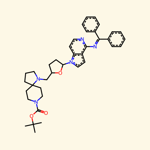 CC(C)(C)OC(=O)N1CCC2(CCCN2CC2CCC(n3ccc4c(N=C(c5ccccc5)c5ccccc5)nccc43)O2)CC1